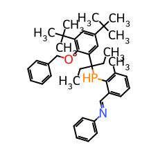 CCC(CC)(Pc1c(C)cccc1/C=N/c1ccccc1)c1cc(C(C)(C)C)cc(C(C)(C)C)c1OCc1ccccc1